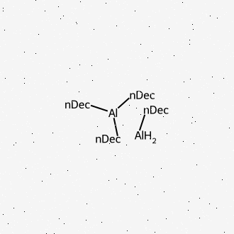 CCCCCCCCC[CH2][AlH2].CCCCCCCCC[CH2][Al]([CH2]CCCCCCCCC)[CH2]CCCCCCCCC